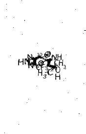 CC(C)(O)CC(=N)S(=O)(=O)Cc1n[nH]nc1C(F)(F)F